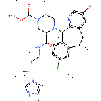 CC(C)(C)OC(=O)N1CCN(C2c3ccc(Cl)cc3CCc3cc(Br)cnc32)C(C(=O)NCCC(C)(C)n2ccnc2)C1